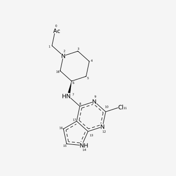 CC(=O)CN1CCC[C@@H](Nc2nc(Cl)nc3[nH]ccc23)C1